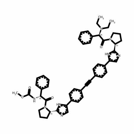 CCN(CC)[C@@H](C(=O)N1CCC[C@H]1c1ncc(-c2ccc(C#Cc3ccc(-c4cnc([C@@H]5CCCN5C(=O)[C@H](NC(=O)OC)c5ccccc5)[nH]4)cc3)cc2)[nH]1)c1ccccc1